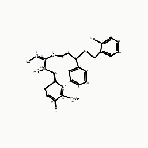 CC/N=C(/SCCC(OCc1ccccc1F)c1ccccc1)N(C)CC1CC=C(F)C(OC)=N1